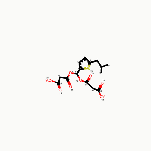 CC(C)Cc1ccc(C(OC(=O)CC(=O)O)OC(=O)CC(=O)O)s1